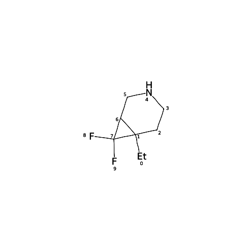 CCC12CCNCC1C2(F)F